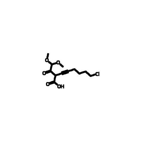 COC(OC)C(=O)C(C#CCCCCCl)C(=O)O